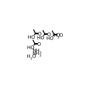 CC(=O)O.CC(=O)O.CC(=O)O.CC(=O)O.N.N.O.O